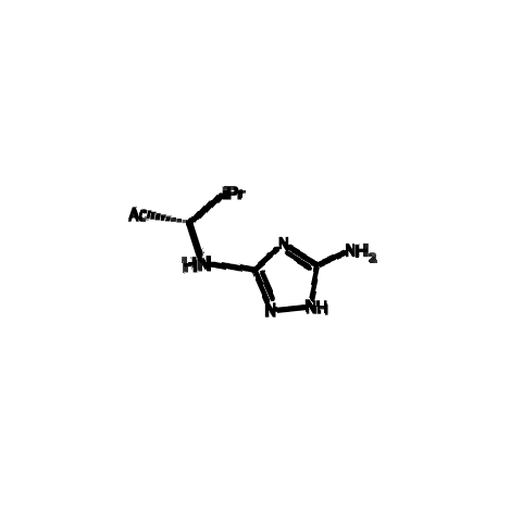 CC(=O)[C@@H](Nc1n[nH]c(N)n1)C(C)C